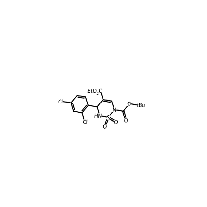 CCOC(=O)C1=CN(C(=O)OC(C)(C)C)S(=O)(=O)NC1c1ccc(Cl)cc1Cl